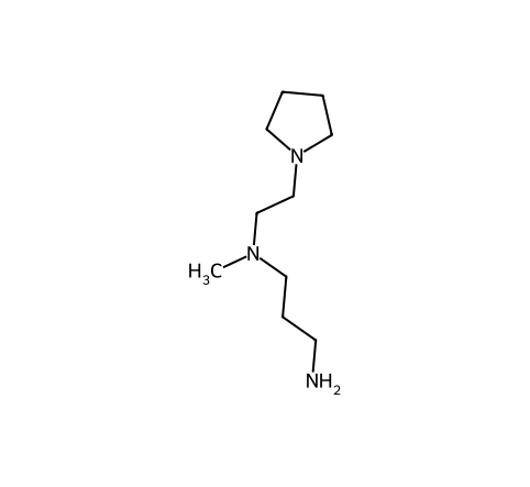 CN(CCCN)CCN1CCCC1